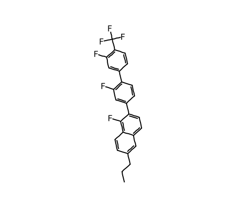 CCCc1ccc2c(F)c(-c3ccc(-c4ccc(C(F)(F)F)c(F)c4)c(F)c3)ccc2c1